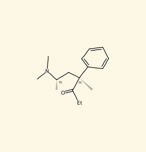 CCC(=O)[C@@](C)(C[C@H](C)N(C)C)c1ccccc1